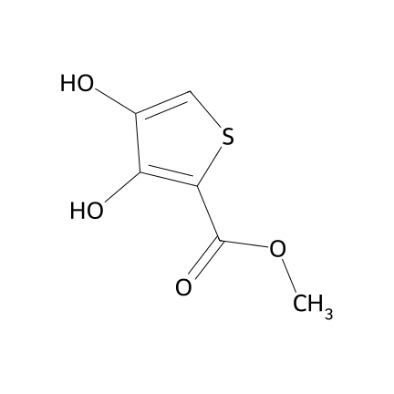 COC(=O)c1scc(O)c1O